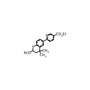 CCOC(=O)c1ccc(-c2ccc3c(c2)C(C)(C)CC(OC(C)=O)S3)nc1